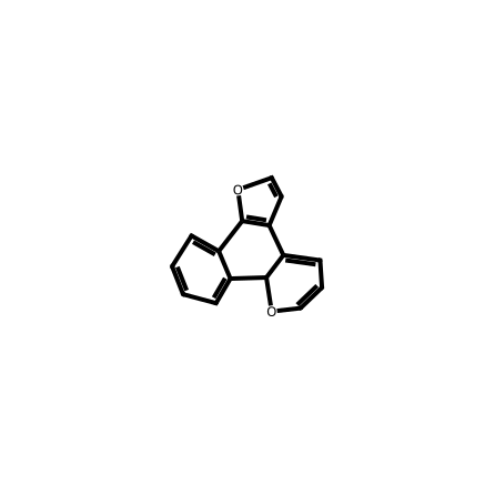 C1=COC2C(=C1)c1ccoc1-c1ccccc12